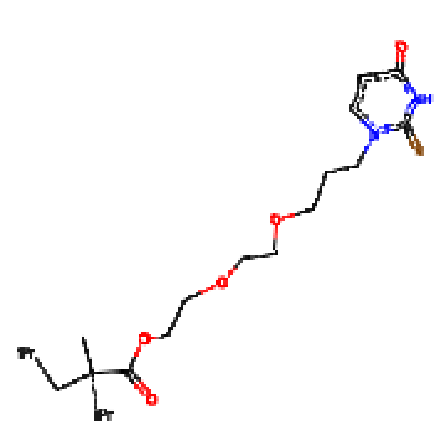 CC(C)CC(C)(C(=O)OCCOCCOCCCn1ccc(=O)[nH]c1=S)C(C)C